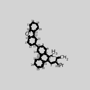 C=C/C(=C\c1c(C)c2ccc(-c3ccc4oc5ccccc5c4c3)cc2c2ccccc12)C(C)C